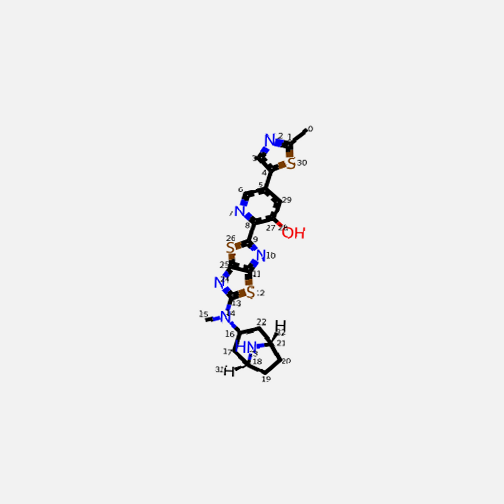 Cc1ncc(-c2cnc(-c3nc4sc(N(C)C5C[C@H]6CC[C@@H](C5)N6)nc4s3)c(O)c2)s1